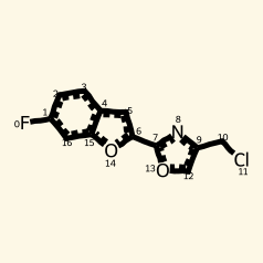 Fc1ccc2cc(-c3nc(CCl)co3)oc2c1